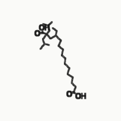 CCC(CCCCCCCCCCCC(=O)O)CC(CC(C)C)(CC(C)C)C(=O)O